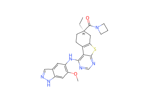 CC[C@@]1(C(=O)N2CCC2)CCc2c(sc3ncnc(Nc4cc5cn[nH]c5cc4OC)c23)C1